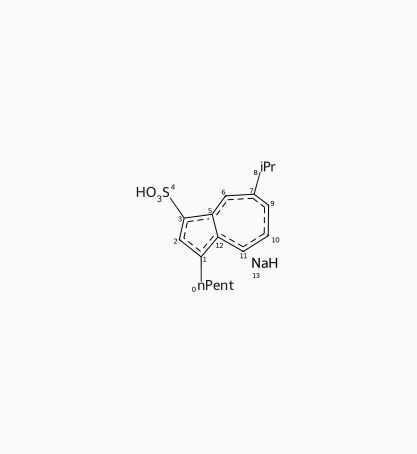 CCCCCc1cc(S(=O)(=O)O)c2cc(C(C)C)cccc1-2.[NaH]